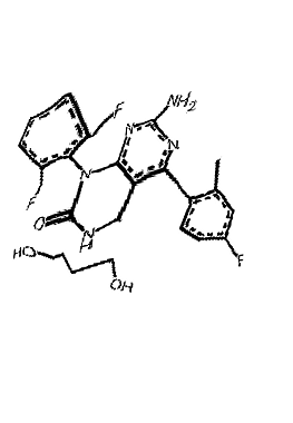 Cc1cc(F)ccc1-c1nc(N)nc2c1CNC(=O)N2c1c(F)cccc1F.OCCCO